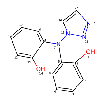 Oc1ccccc1N(c1ccccc1O)n1ccnn1